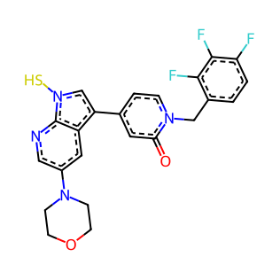 O=c1cc(-c2cn(S)c3ncc(N4CCOCC4)cc23)ccn1Cc1ccc(F)c(F)c1F